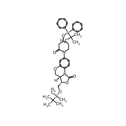 CC(C)(C)[Si](C)(C)OC[C@@H]1OC(=O)N2c3ccc(N4CC[C@H](O[Si](c5ccccc5)(c5ccccc5)C(C)(C)C)CC4=O)cc3OC[C@@H]12